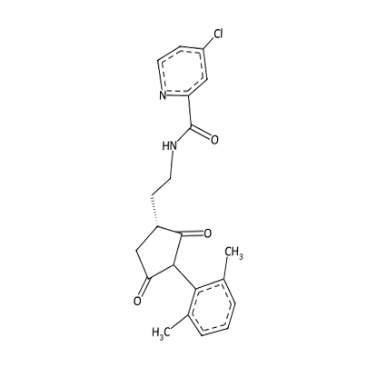 Cc1cccc(C)c1C1C(=O)C[C@H](CCNC(=O)c2cc(Cl)ccn2)C1=O